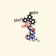 COc1ccc(C(OC[C@H]2O[C@@H](n3ccc(/N=C(/C)N4CCOCC4)nc3=O)CC2O)(c2ccccc2)c2ccc(OC)cc2)cc1